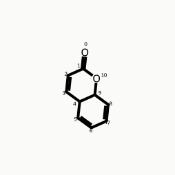 O=C1C=CC2C=C[C]=CC2O1